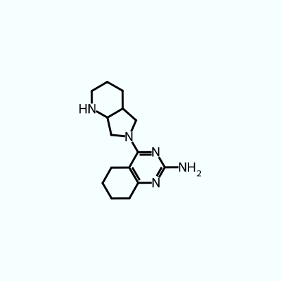 Nc1nc2c(c(N3CC4CCCNC4C3)n1)CCCC2